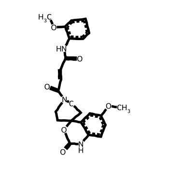 COc1ccc2c(c1)C1(CCN(C(=O)C=CC(=O)Nc3ccccc3OC)CC1)OC(=O)N2